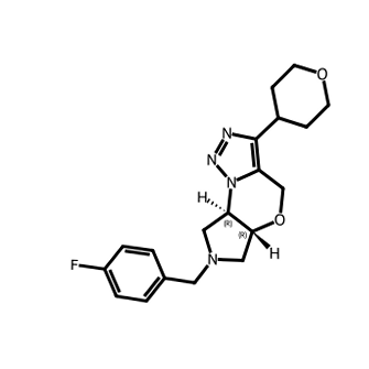 Fc1ccc(CN2C[C@@H]3[C@@H](C2)OCc2c(C4CCOCC4)nnn23)cc1